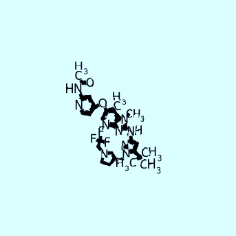 CC(=O)Nc1cc(Oc2cnc3nc(Nc4cc(C(C)(C)C)n(C[C@H]5CCN(CC(F)(F)F)C5)n4)n(C)c3c2C)ccn1